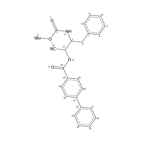 CC(C)(C)OC(=O)NC(Cc1ccccc1)C(C#N)OC(=O)c1ccc(-c2ccccc2)cc1